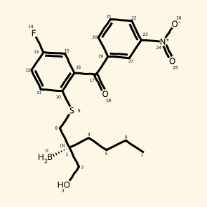 B[C@@](CO)(CCCC)CSc1ccc(F)cc1C(=O)c1cccc([N+](=O)[O-])c1